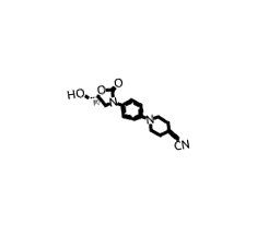 N#CC=C1CCN(c2ccc(N3C[C@H](CO)OC3=O)cc2)CC1